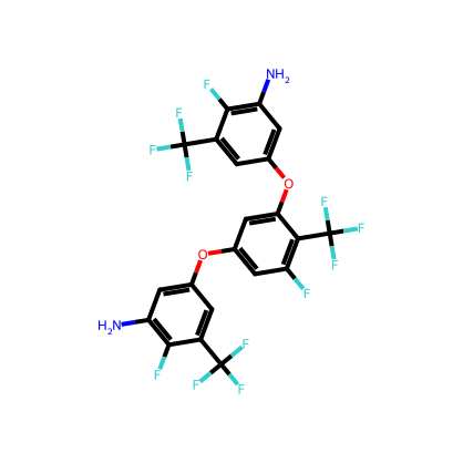 Nc1cc(Oc2cc(F)c(C(F)(F)F)c(Oc3cc(N)c(F)c(C(F)(F)F)c3)c2)cc(C(F)(F)F)c1F